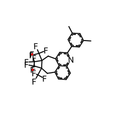 Cc1cc(C)cc(-c2cc3c4c(cccc4n2)CC(C(F)(F)F)(C(F)(F)F)C(C(F)(F)F)(C(F)(F)F)C3)c1